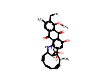 CCc1c(C)cc2c(c1OC)C(=O)c1c(O)cc3c(c1C2=O)N[C@H]1C#C/C=C\C#C[C@H](C)[C@@]32O[C@@]12[C@@H](C)O